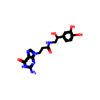 Nc1nc2c(ncn2CCC(=O)NCC(O)c2ccc(O)c(O)c2)c(=O)[nH]1